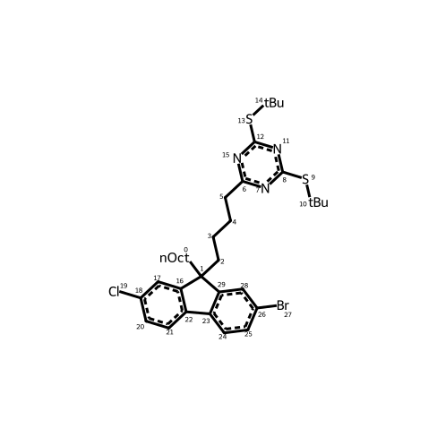 CCCCCCCCC1(CCCCc2nc(SC(C)(C)C)nc(SC(C)(C)C)n2)c2cc(Cl)ccc2-c2ccc(Br)cc21